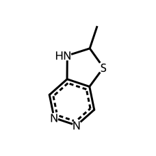 CC1Nc2cnncc2S1